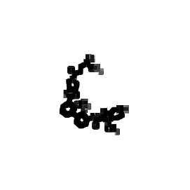 CCN(C)CCC(=O)N1Cc2nc(-c3cccc(-c4cccc(NC(=O)c5nc6c(n5C)CCNC6)c4C)c3Cl)oc2C1